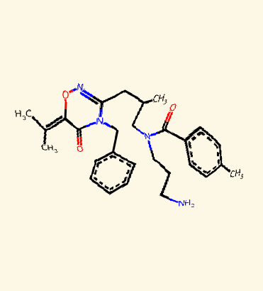 CC(C)=C1ON=C(CC(C)CN(CCCN)C(=O)c2ccc(C)cc2)N(Cc2ccccc2)C1=O